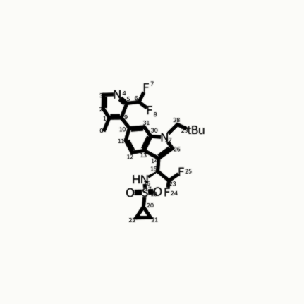 Cc1ccnc(C(F)F)c1-c1ccc2c([C@H](NS(=O)(=O)C3CC3)C(F)F)cn(CC(C)(C)C)c2c1